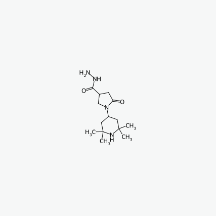 CC1(C)CC(N2CC(C(=O)NN)CC2=O)CC(C)(C)N1